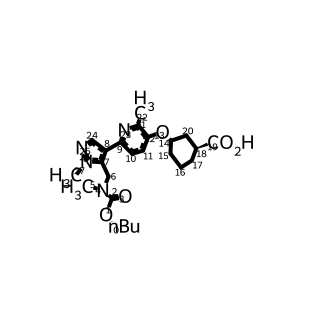 CCCCOC(=O)N(C)Cc1c(-c2ccc(OC3CCC[C@H](C(=O)O)C3)c(C)n2)cnn1C